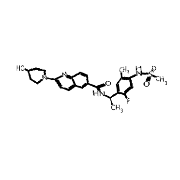 Cc1cc([C@@H](C)NC(=O)c2ccc3nc(N4CCC(O)CC4)ccc3c2)c(F)cc1NS(C)(=O)=O